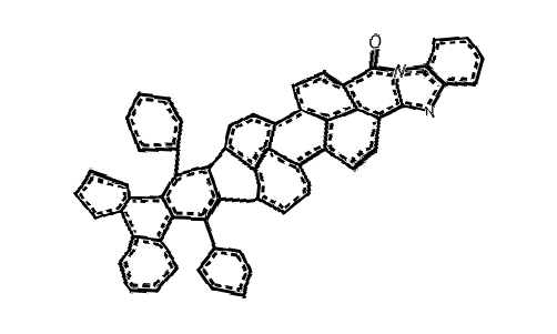 O=c1c2ccc3c4ccc5c6c(ccc(c7ccc(c2c37)c2nc3ccccc3n12)c64)-c1c-5c(-c2ccccc2)c2c3ccccc3c3ccccc3c2c1-c1ccccc1